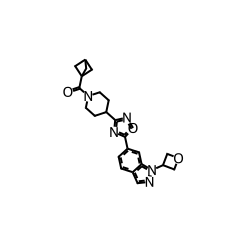 O=C(N1CCC(c2noc(-c3ccc4cnn(C5COC5)c4c3)n2)CC1)C12CC(C1)C2